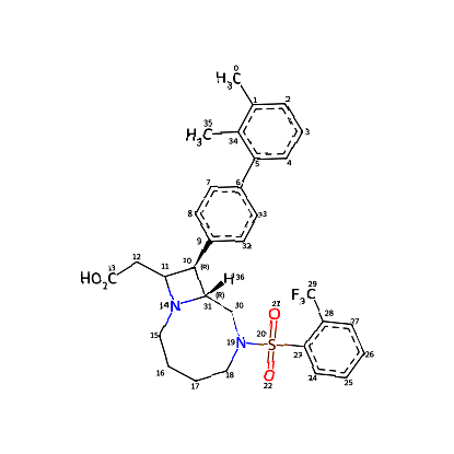 Cc1cccc(-c2ccc([C@@H]3C(CC(=O)O)N4CCCCN(S(=O)(=O)c5ccccc5C(F)(F)F)C[C@@H]34)cc2)c1C